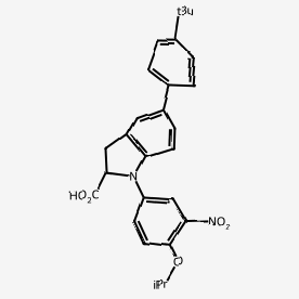 CC(C)Oc1ccc(N2c3ccc(-c4ccc(C(C)(C)C)cc4)cc3CC2C(=O)O)cc1[N+](=O)[O-]